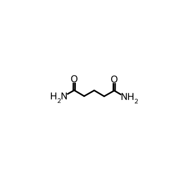 NC(=O)CCCC(N)=O